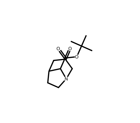 CC(C)(C)OC(=O)C1C2CCN1CC(=O)C2